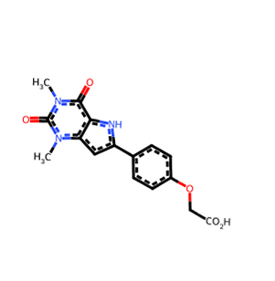 Cn1c(=O)c2[nH]c(-c3ccc(OCC(=O)O)cc3)cc2n(C)c1=O